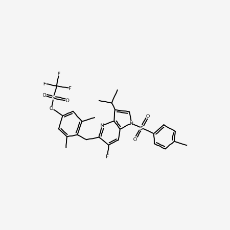 Cc1ccc(S(=O)(=O)n2cc(C(C)C)c3nc(Cc4c(C)cc(OS(=O)(=O)C(F)(F)F)cc4C)c(F)cc32)cc1